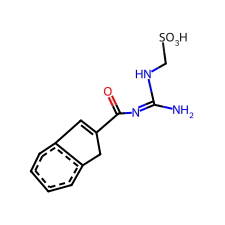 NC(=NC(=O)C1=Cc2ccccc2C1)NCS(=O)(=O)O